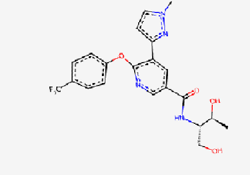 C[C@H](O)[C@H](CO)NC(=O)c1cnc(Oc2ccc(C(F)(F)F)cc2)c(-c2ccn(C)n2)c1